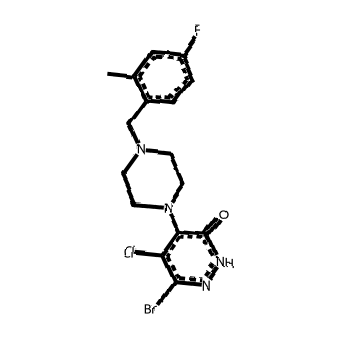 Cc1cc(F)ccc1CN1CCN(c2c(Cl)c(Br)n[nH]c2=O)CC1